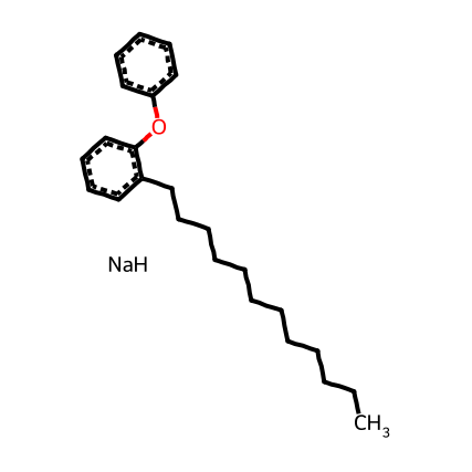 CCCCCCCCCCCCc1ccccc1Oc1ccccc1.[NaH]